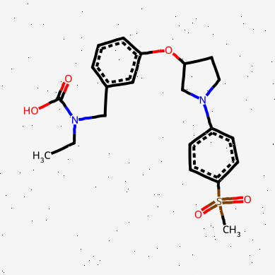 CCN(Cc1cccc(OC2CCN(c3ccc(S(C)(=O)=O)cc3)C2)c1)C(=O)O